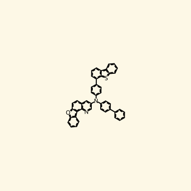 c1ccc(-c2ccc(N(c3ccc(-c4cccc5c4sc4ccccc45)cc3)c3cnc4c(ccc5oc6ccccc6c54)c3)cc2)cc1